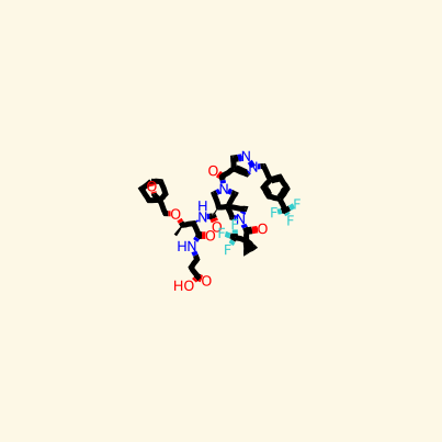 C[C@@H](OCC12CCC(CC1)OC2)[C@H](NC(=O)[C@@H]1CN(C(=O)c2cnn(Cc3ccc(C(F)(F)F)cc3)c2)CC12CN(C(=O)C1(C(F)(F)F)CC1)C2)C(=O)NCCC(=O)O